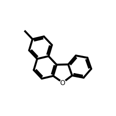 Cc1ccc2c(ccc3oc4ccccc4c32)c1